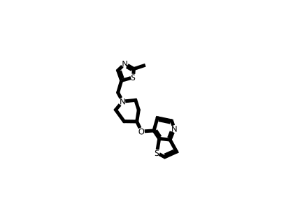 Cc1ncc(CN2CCC(Oc3ccnc4ccsc34)CC2)s1